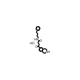 Cl.O=C(CCC(=O)c1ccc2c(c1)CCNCC2)NCCCCc1ccccc1